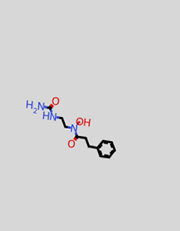 NC(=O)NCCN(O)C(=O)CCc1ccccc1